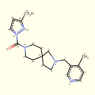 Cc1ccncc1CN1CCC2(CCN(C(=O)n3ccc(C(=O)O)n3)CC2)C1